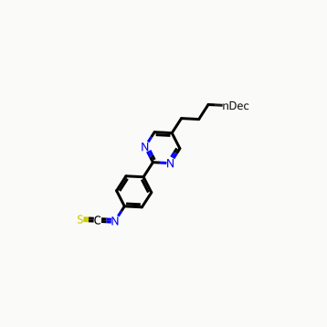 CCCCCCCCCCCCCc1cnc(-c2ccc(N=C=S)cc2)nc1